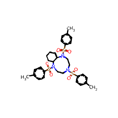 Cc1ccc(S(=O)(=O)N2CCN(S(=O)(=O)c3ccc(C)cc3)C3CCCCC3N(S(=O)(=O)c3ccc(C)cc3)CC2)cc1